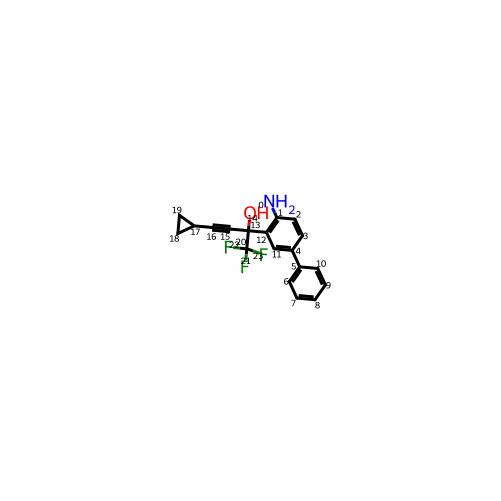 Nc1ccc(-c2ccccc2)cc1C(O)(C#CC1CC1)C(F)(F)F